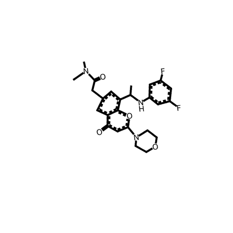 CC(Nc1cc(F)cc(F)c1)c1cc(CC(=O)N(C)C)cc2c(=O)cc(N3CCOCC3)oc12